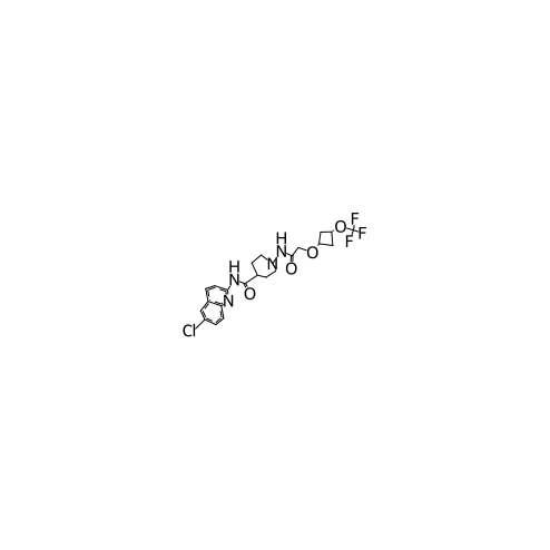 O=C(CO[C@H]1C[C@@H](OC(F)(F)F)C1)NN1CCC(C(=O)Nc2ccc3cc(Cl)ccc3n2)CC1